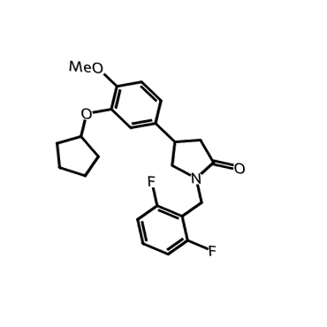 COc1ccc(C2CC(=O)N(Cc3c(F)cccc3F)C2)cc1OC1CCCC1